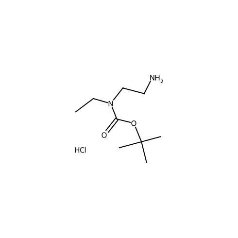 CCN(CCN)C(=O)OC(C)(C)C.Cl